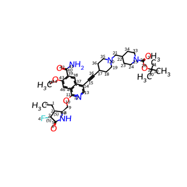 CC[C@@H]1[C@H](F)C(=O)N[C@@H]1COc1ncc(C#CC2CCN(CC3CCN(C(=O)OC(C)(C)C)CC3)CC2)c2cc(C(N)=O)c(OC)cc12